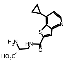 N[C@H](CNC(=O)c1cc2nccc(C3CC3)c2s1)C(=O)O